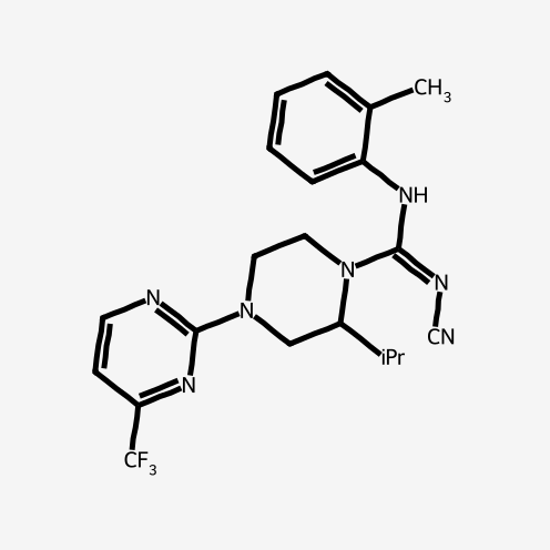 Cc1ccccc1N/C(=N/C#N)N1CCN(c2nccc(C(F)(F)F)n2)CC1C(C)C